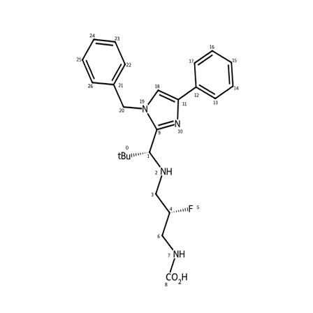 CC(C)(C)[C@@H](NC[C@H](F)CNC(=O)O)c1nc(-c2ccccc2)cn1Cc1ccccc1